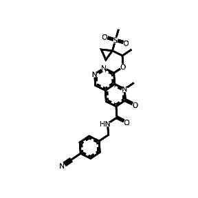 CC(Oc1nncc2cc(C(=O)NCc3ccc(C#N)cc3)c(=O)n(C)c12)C1(S(C)(=O)=O)CC1